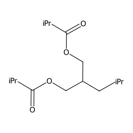 CC(C)CC(COC(=O)C(C)C)COC(=O)C(C)C